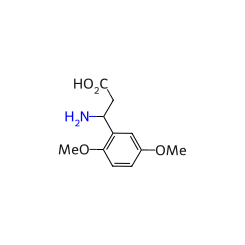 COc1ccc(OC)c(C(N)CC(=O)O)c1